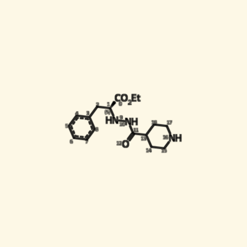 CCOC(=O)[C@H](Cc1ccccc1)NNC(=O)C1CCNCC1